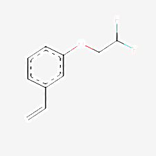 C=Cc1cccc(OCC(F)F)c1